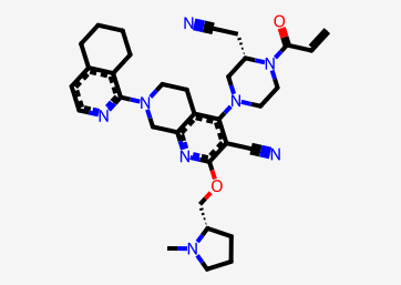 C=CC(=O)N1CCN(c2c(C#N)c(OC[C@@H]3CCCN3C)nc3c2CCN(c2nccc4c2CCCC4)C3)C[C@@H]1CC#N